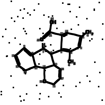 Cc1cc(C)c(C2NC3=CC=CCC3C3OCC=CC23)c(C(=O)O)c1